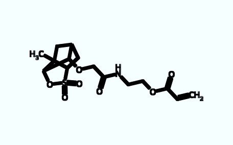 C=CC(=O)OCCNC(=O)COC1C2CC3C(C)(C2)C1OS3(=O)=O